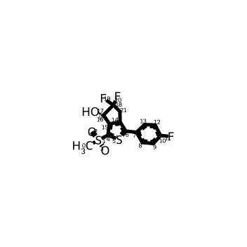 CS(=O)(=O)c1sc(-c2ccc(F)cc2)c2c1[C@H](O)C(F)(F)C2